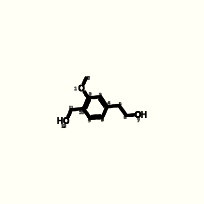 COc1cc(CCO)ccc1CO